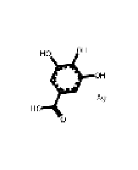 O=C(O)c1cc(O)c(O)c(O)c1.[Ag]